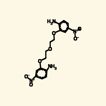 Nc1ccc([N+](=O)[O-])cc1OCCOCCOc1cc([N+](=O)[O-])ccc1N